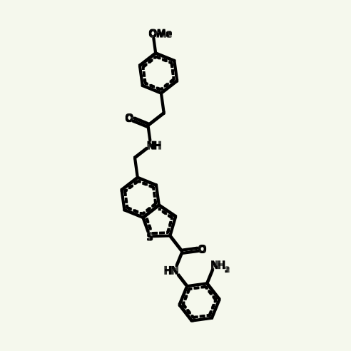 COc1ccc(CC(=O)NCc2ccc3sc(C(=O)Nc4ccccc4N)cc3c2)cc1